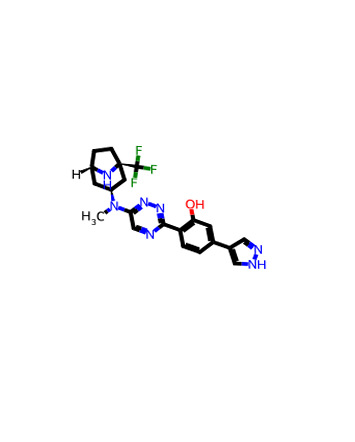 CN(c1cnc(-c2ccc(-c3cn[nH]c3)cc2O)nn1)[C@H]1C[C@@H]2CC[C@](C(F)(F)F)(C1)N2